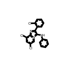 Clc1cc(Cl)c2nc(-c3ccccc3Cl)c(Nc3ccccc3)n2c1